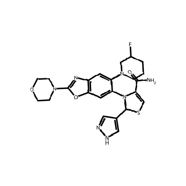 NC(=O)C1=CSC(c2cn[nH]c2)N1c1cc2oc(N3CCOCC3)nc2cc1N1CCCC(F)C1